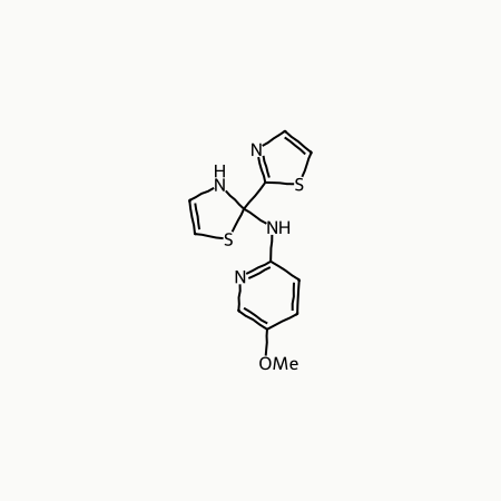 COc1ccc(NC2(c3nccs3)NC=CS2)nc1